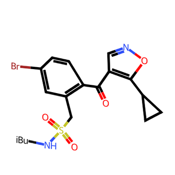 CCC(C)NS(=O)(=O)Cc1cc(Br)ccc1C(=O)c1cnoc1C1CC1